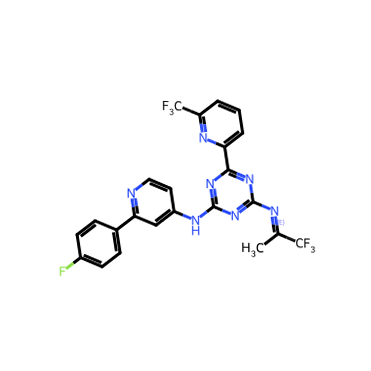 C/C(=N\c1nc(Nc2ccnc(-c3ccc(F)cc3)c2)nc(-c2cccc(C(F)(F)F)n2)n1)C(F)(F)F